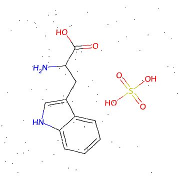 NC(Cc1c[nH]c2ccccc12)C(=O)O.O=S(=O)(O)O